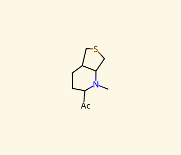 CC(=O)C1CCC2CSCC2N1C